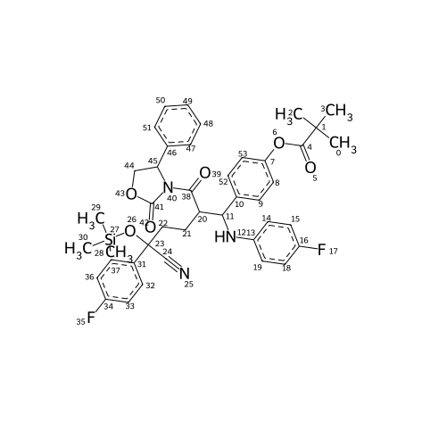 CC(C)(C)C(=O)Oc1ccc(C(Nc2ccc(F)cc2)C(CCC(C#N)(O[Si](C)(C)C)c2ccc(F)cc2)C(=O)N2C(=O)OCC2c2ccccc2)cc1